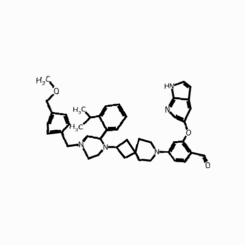 COCc1ccc(CN2CCN(C3CC4(CCN(c5ccc(C=O)c(Oc6cnc7[nH]ccc7c6)c5)CC4)C3)C(c3ccccc3C(C)C)C2)cc1